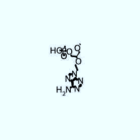 COC[C@H](COP(C)(=O)O)OCCn1cnc2c(N)ncnc21